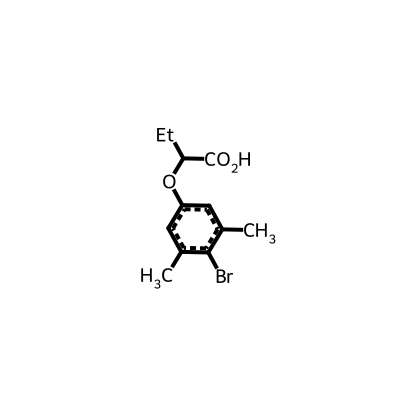 CCC(Oc1cc(C)c(Br)c(C)c1)C(=O)O